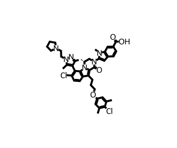 Cc1cc(OCCCc2c3n(c4c(-c5c(C)nn(CCN6CCCC6)c5C)c(Cl)ccc24)[C@H](C)CN(c2cc4ccc(C(=O)O)cc4n2C)C3=O)cc(C)c1Cl